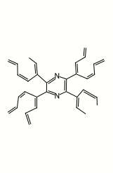 C=C/C=C\C(=C/C)c1nc(C(/C=C\C=C)=C/C=C)c(C(/C=C\C)=C/C)nc1C(/C=C\C=C)=C/C=C